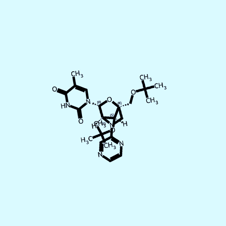 Cc1cn([C@@H]2O[C@@]3(COC(C)(C)C)CN(c4cnccn4)[C@@H]2[C@@H]3OC(C)(C)C)c(=O)[nH]c1=O